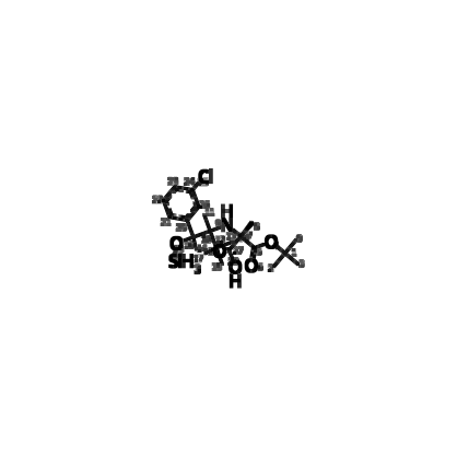 CC(C)(C)OC(=O)[C@@](C)(NC(C)(C(C)(C)C)C(C)(O[SiH3])c1cccc(Cl)c1)C(=O)O